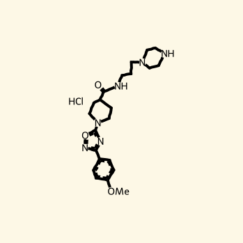 COc1ccc(-c2noc(N3CCC(C(=O)NCCCN4CCNCC4)CC3)n2)cc1.Cl